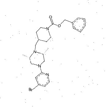 C[C@@H]1CN(c2cc(Br)ccn2)C[C@H](C)N1CC1CCN(C(=O)OCc2ccccc2)CC1